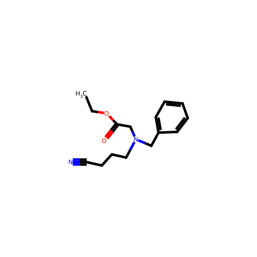 CCOC(=O)CN(CCCC#N)Cc1ccccc1